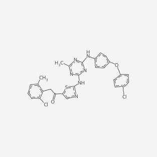 Cc1nc(Nc2ccc(Oc3ccc(Cl)cc3)cc2)nc(Nc2ncc(C(=O)Cc3c(C)cccc3Cl)s2)n1